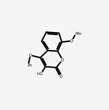 CC(C)Oc1c(O)c(=O)oc2c(OC(C)(C)C)cccc12